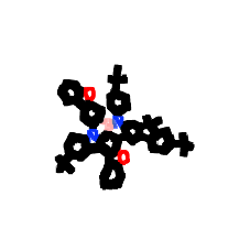 CC(C)(C)c1ccc(N2B3c4cc5oc6ccccc6c5cc4-n4c5ccc(C(C)(C)C)cc5c5c6c(oc7ccccc76)c(c3c54)-c3cc4c(cc32)C(C)(C)c2cc(C(C)(C)C)ccc2-4)cc1